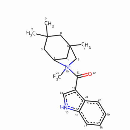 CC1(C)CC2CC(C)(C1)C[N+]2(C(=O)c1c[nH]c2ccccc12)C(F)(F)F